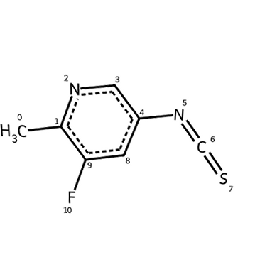 Cc1ncc(N=C=S)cc1F